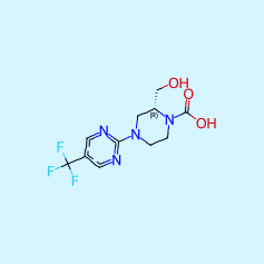 O=C(O)N1CCN(c2ncc(C(F)(F)F)cn2)C[C@@H]1CO